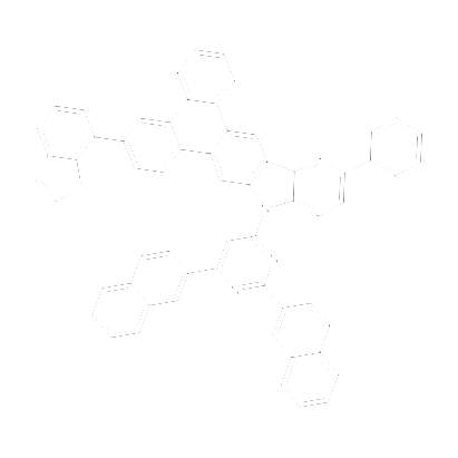 c1ccc(-c2ccc3c(c2)c2cc4c5ccccc5c5cc(-c6cccc7ccsc67)ccc5c4cc2n3-c2cc(-c3ccc4ccccc4c3)nc(-c3ccc4ccccc4c3)n2)cc1